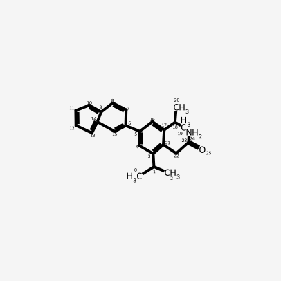 CC(C)c1cc(-c2ccc3ccccc3c2)cc(C(C)C)c1CC(N)=O